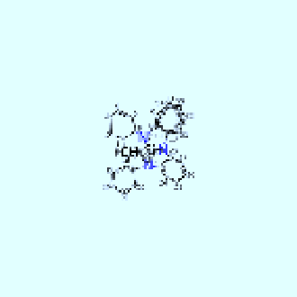 CC1C=CC=CC1N(c1ccccc1)[Si]1(C)N(c2ccccc2)c2ccccc2N1c1ccccc1